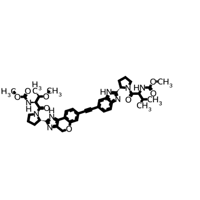 COC(=O)NC(C(=O)N1CCC[C@H]1c1nc2ccc(C#Cc3ccc4c(c3)OCc3nc([C@@H]5CCCN5C(=O)[C@@H](NC(=O)OC)[C@@H](C)OC)[nH]c3-4)cc2[nH]1)C(C)C